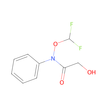 O=C(CO)N(OC(F)F)c1ccccc1